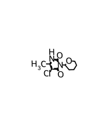 Cc1[nH]c(=O)n(C2CCCCO2)c(=O)c1Cl